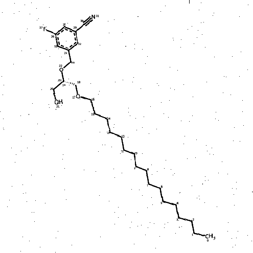 CCCCCCCCCCCCCCCCCOC[C@H](CO)OCc1cc(F)cc(C#N)c1